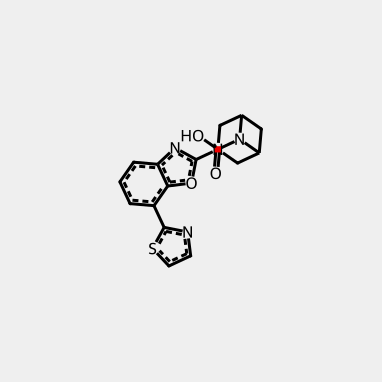 O=C(O)N1C2CC1CN(c1nc3cccc(-c4nccs4)c3o1)C2